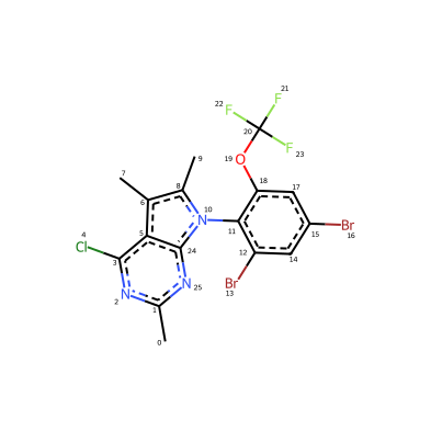 Cc1nc(Cl)c2c(C)c(C)n(-c3c(Br)cc(Br)cc3OC(F)(F)F)c2n1